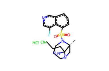 CCCC1(N)N2CCCN(S(=O)(=O)c3cccc4cncc(F)c34)[C@@]1(C)C2.Cl.Cl